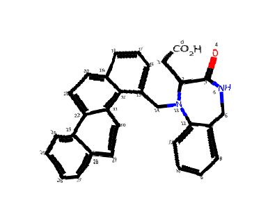 O=C(O)CC1C(=O)NCc2ccccc2N1Cc1cccc2ccc3c4ccccc4ccc3c12